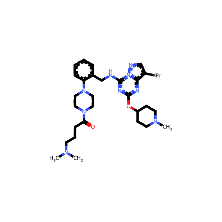 CC(C)c1cnn2c(NCc3ccccc3N3CCN(C(=O)CCCN(C)C)CC3)nc(OC3CCN(C)CC3)nc12